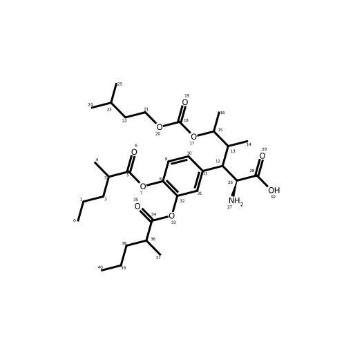 CCCC(C)C(=O)Oc1ccc(C(C(C)C(C)OC(=O)OCCC(C)C)[C@H](N)C(=O)O)cc1OC(=O)C(C)CCC